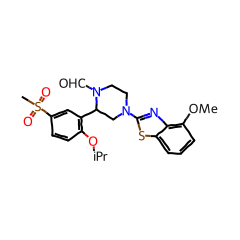 COc1cccc2sc(N3CCN(C=O)C(c4cc(S(C)(=O)=O)ccc4OC(C)C)C3)nc12